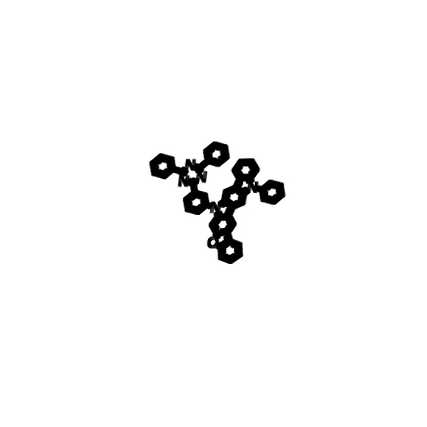 c1ccc(-c2nc(-c3ccccc3)nc(-c3cccc(-n4c5cc6oc7ccccc7c6cc5c5cc6c(cc54)c4ccccc4n6-c4ccccc4)c3)n2)cc1